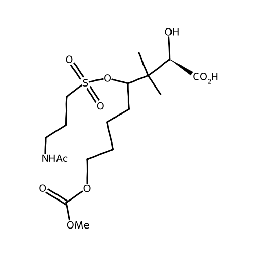 COC(=O)OCCCCC(OS(=O)(=O)CCCNC(C)=O)C(C)(C)[C@@H](O)C(=O)O